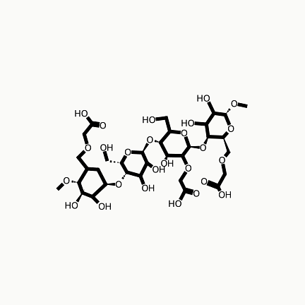 CO[C@@H]1O[C@@H](COCC(=O)O)[C@@H](O[C@@H]2OC(CO)[C@@H](O[C@@H]3O[C@@H](CO)[C@@H](O[C@@H]4CC(COCC(=O)O)[C@@H](OC)[C@H](O)C4O)C(O)C3O)[C@H](O)C2OCC(=O)O)C(O)C1O